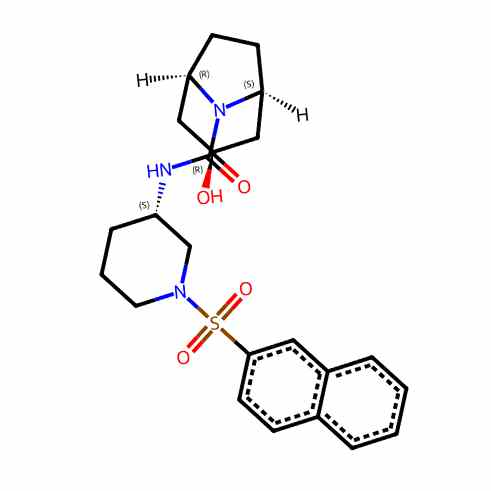 O=C(N[C@H]1CCCN(S(=O)(=O)c2ccc3ccccc3c2)C1)N1[C@@H]2CC[C@H]1C[C@@H](O)C2